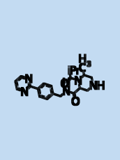 CC(C)C(=O)N1C(C)CNCC1C(=O)NCc1ccc(-c2ncccn2)cc1